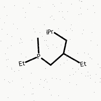 CCC(CC(C)C)CP(C)CC